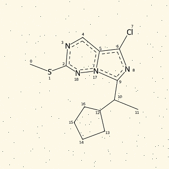 CSc1ncc2c(Cl)nc(C(C)C3CCCC3)n2n1